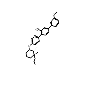 CCC[C@]1(C)CCC[C@H](Oc2ccc(-c3ccc(-c4ccnc(OC)c4)cc3O)nn2)[C@@H]1F